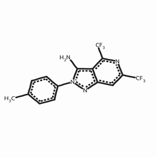 Cc1ccc(-n2nc3cc(C(F)(F)F)nc(C(F)(F)F)c3c2N)cc1